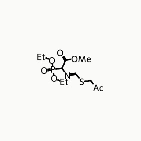 CCOP(=O)(OCC)C(N=CSCC(C)=O)C(=O)OC